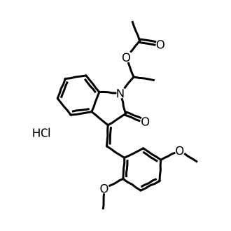 COc1ccc(OC)c(C=C2C(=O)N(C(C)OC(C)=O)c3ccccc32)c1.Cl